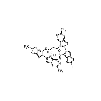 CCS(=O)(=O)c1c(-c2nc3cc(C(F)(F)F)ncc3n2CCCSc2c(-c3nc4cc(C(F)(F)F)ncc4n3C)nc3sc(C(F)(F)F)cn23)nc2sc(C(F)(F)F)nn12